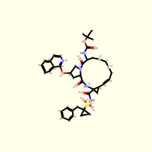 CC(C)(C)OC(=O)NC1CCCCCC=CC2CC2(C(=O)NS(=O)(=O)C2(Cc3ccccc3)CC2)NC(=O)C2CC(Oc3nccc4ccccc34)CN2C1=O